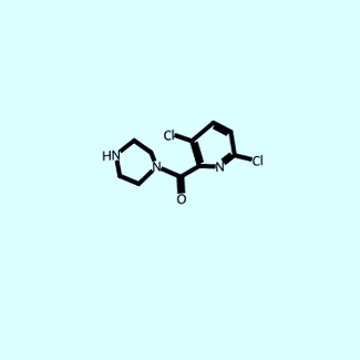 O=C(c1nc(Cl)ccc1Cl)N1CCNCC1